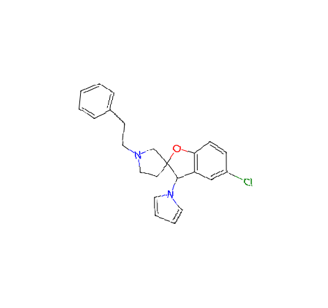 Clc1ccc2c(c1)C(n1cccc1)C1(CCN(CCc3ccccc3)C1)O2